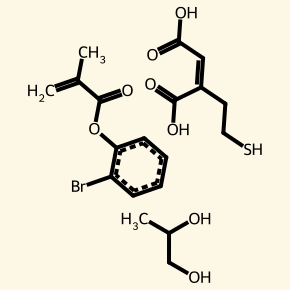 C=C(C)C(=O)Oc1ccccc1Br.CC(O)CO.O=C(O)/C=C(/CCS)C(=O)O